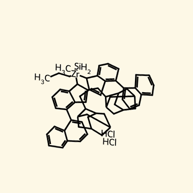 CC[CH2][Zr]([CH3])(=[SiH2])([CH]1C(CC2C3CC4CC(C3)CC2C4)=Cc2c(-c3cccc4ccccc34)cccc21)[CH]1C(CC2C3CC4CC(C3)CC2C4)=Cc2c(-c3cccc4ccccc34)cccc21.Cl.Cl